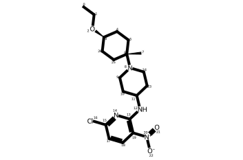 CCO[C@H]1CC[C@](C)(N2CCC(Nc3nc(Cl)ccc3[N+](=O)[O-])CC2)CC1